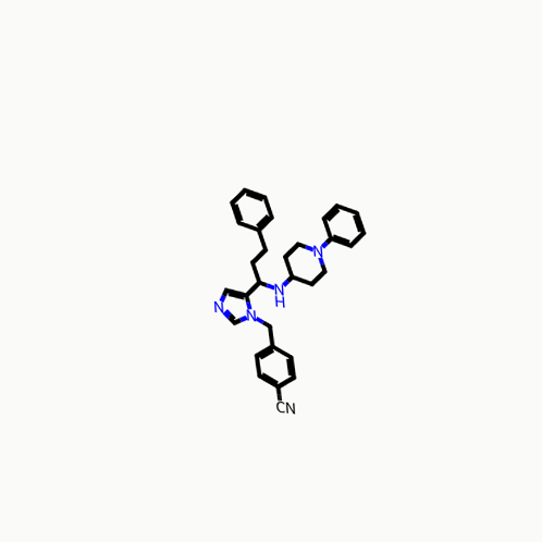 N#Cc1ccc(Cn2cncc2C(CCc2ccccc2)NC2CCN(c3ccccc3)CC2)cc1